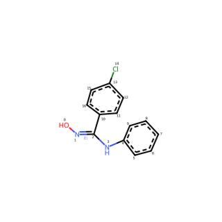 O/N=C(/Nc1ccccc1)c1ccc(Cl)cc1